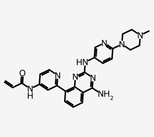 C=CC(=O)Nc1ccnc(-c2cccc3c(N)nc(Nc4ccc(N5CCN(C)CC5)nc4)nc23)c1